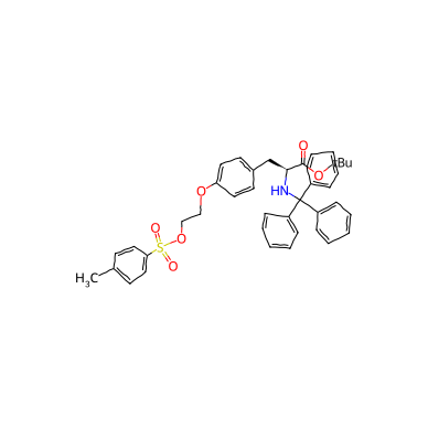 Cc1ccc(S(=O)(=O)OCCOc2ccc(C[C@H](NC(c3ccccc3)(c3ccccc3)c3ccccc3)C(=O)OC(C)(C)C)cc2)cc1